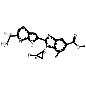 COC(=O)c1cc(F)c2c(c1)nc(-c1cc3ccc([C@@H](C)N)nc3[nH]1)n2[C@@H]1C[C@H]1F